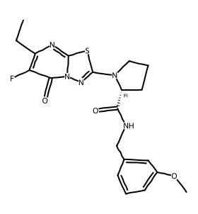 CCc1nc2sc(N3CCC[C@@H]3C(=O)NCc3cccc(OC)c3)nn2c(=O)c1F